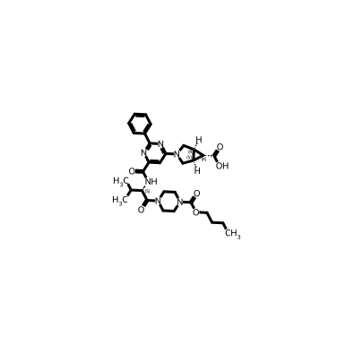 CCCCOC(=O)N1CCN(C(=O)[C@@H](NC(=O)c2cc(N3C[C@@H]4[C@H](C3)[C@H]4C(=O)O)nc(-c3ccccc3)n2)C(C)C)CC1